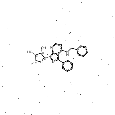 C[C@H]1O[C@@H](n2nc(-c3ccccc3)c3c(NCc4cccnc4)ncnc32)[C@@H](O)[C@H]1O